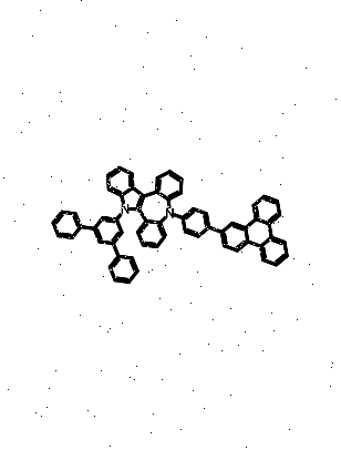 c1ccc(-c2cc(-c3ccccc3)cc(-n3c4c(c5ccccc53)-c3ccccc3N(c3ccc(-c5ccc6c7ccccc7c7ccccc7c6c5)cc3)c3ccccc3-4)c2)cc1